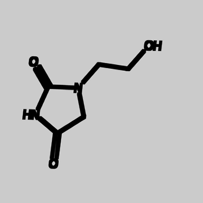 O=C1CN(CCO)C(=O)N1